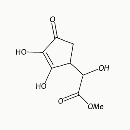 COC(=O)C(O)C1CC(=O)C(O)=C1O